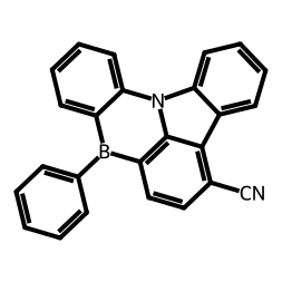 N#Cc1ccc2c3c1c1ccccc1n3-c1ccccc1B2c1ccccc1